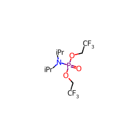 CC(C)N(C(C)C)P(=O)(OCC(F)(F)F)OCC(F)(F)F